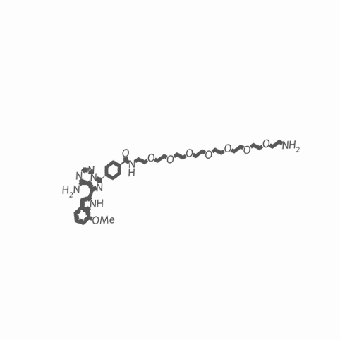 COc1cccc2cc(-c3nc([C@H]4CC[C@H](C(=O)NCCOCCOCCOCCOCCOCCOCCOCCN)CC4)n4ncnc(N)c34)[nH]c12